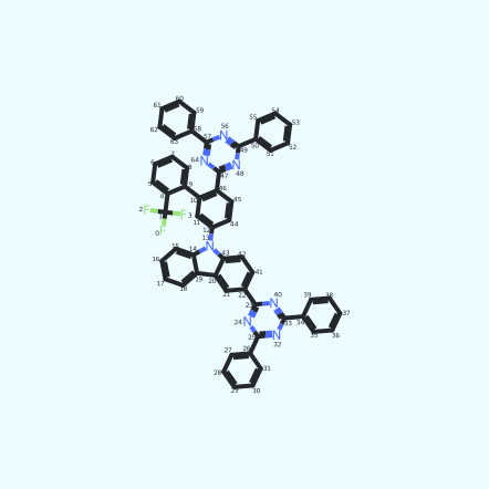 FC(F)(F)c1ccccc1-c1cc(-n2c3ccccc3c3cc(-c4nc(-c5ccccc5)nc(-c5ccccc5)n4)ccc32)ccc1-c1nc(-c2ccccc2)nc(-c2ccccc2)n1